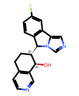 O[C@H]1c2cnccc2CC[C@@H]1C1c2ccc(F)cc2-c2cncn21